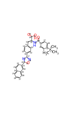 CC(C)(C)c1ccc(C(=O)N[C@@H](Cc2ccc(-c3noc(-c4ccc5ccccc5c4)n3)cc2)C(=O)O)cc1